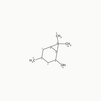 CC1CC(O)C2C(C1)C2(C)C